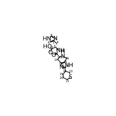 O=C(O)[C@H](Cc1c[nH]cn1)NC(=O)[C@@H]1Cc2nc(C3CCCSC3)[nH]c2CN1